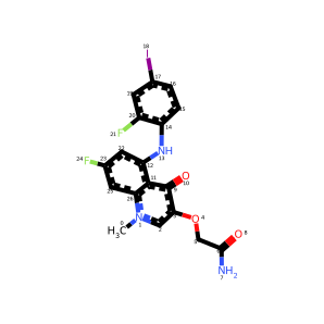 Cn1cc(OCC(N)=O)c(=O)c2c(Nc3ccc(I)cc3F)cc(F)cc21